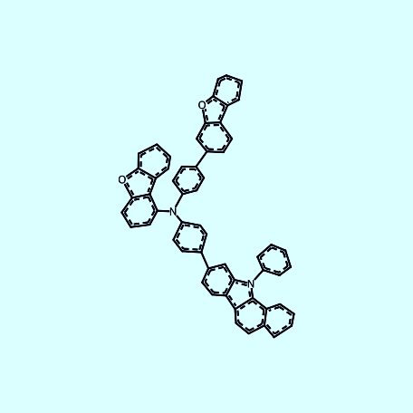 c1ccc(-n2c3cc(-c4ccc(N(c5ccc(-c6ccc7c(c6)oc6ccccc67)cc5)c5cccc6oc7ccccc7c56)cc4)ccc3c3ccc4ccccc4c32)cc1